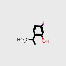 CC(C(=O)O)c1ccc(I)cc1O